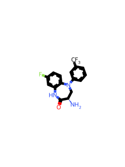 N[C@H]1CN(c2cccc(C(F)(F)F)c2)c2ccc(F)cc2NC1=O